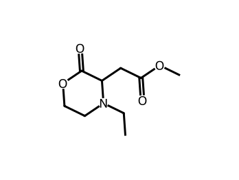 CCN1CCOC(=O)C1CC(=O)OC